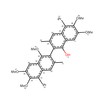 COc1cc2c(O)c(-c3c(C)cc4c(C(C)C)c(OC)c(OC)cc4c3OC)c(C)cc2c(C(C)C)c1OC